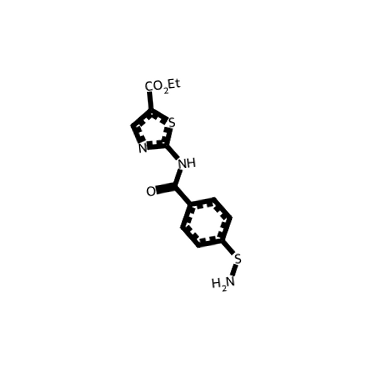 CCOC(=O)c1cnc(NC(=O)c2ccc(SN)cc2)s1